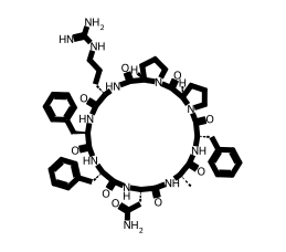 C[C@@H]1NC(=O)[C@H](CC(N)=O)NC(=O)[C@H](Cc2ccccc2)NC(=O)[C@@H](Cc2ccccc2)NC(=O)[C@H](CCCNC(=N)N)NC(=O)[C@@H]2CCCN2C(=O)[C@H]2CCCN2C(=O)[C@H](Cc2ccccc2)NC1=O